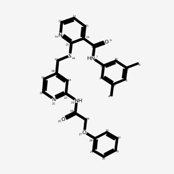 Cc1cc(C)cc(NC(=O)c2cccnc2SCc2ccnc(NC(=O)COc3ccccc3)c2)c1